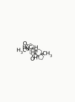 CN1C(=O)CC[C@@]2(C)C1CC(=O)[C@@H]1[C@H]2CC[C@]2(C)CCC[C@@H]12